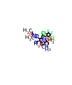 C=CC(=O)N1CCN(c2c(C#N)c(=O)n(C3=C(C)C=CNC3C(C)C)c3nc(-c4c(O)c(Cl)c(F)c(F)c4Cl)c(Cl)cc23)C[C@H]1C